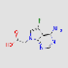 Nc1ncnc2c1c(F)cn2CC(=O)O